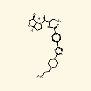 COCCN1CCN(c2nc(-c3ccc(C(=O)NC(CC(C)(C)C)C(=O)N4CC[C@H]5OCC(=O)[C@H]54)cc3)cs2)CC1